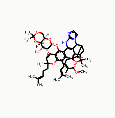 COC(=O)/C(C)=C\CC12OC(C)(C)C3CC(C1=O)C1C4=C(Nc5nccn51)c1c(O[C@@H]5O[C@@H]6COC(C)(C)O[C@H]6[C@H](O)[C@H]5O)c5c(c(CC=C(C)C)c1OC432)OC(C)(CCC=C(C)C)C=C5